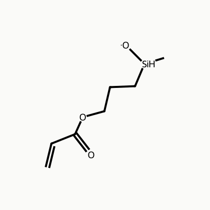 C=CC(=O)OCCC[SiH](C)[O]